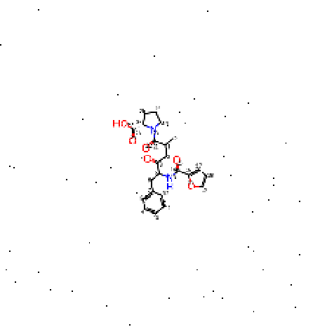 CC(CC(=O)C(Cc1ccccc1)NC(=O)c1ccco1)C(=O)N1CCC[C@H]1C(=O)O